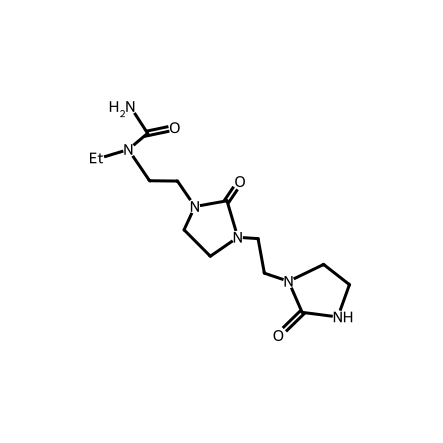 CCN(CCN1CCN(CCN2CCNC2=O)C1=O)C(N)=O